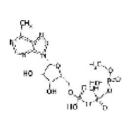 COP(=O)(O)OP(=O)(O)OP(=O)(O)OC[C@H]1O[C@@H](n2cnc3c(C)ncnc32)C(O)C1O